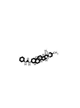 C[C@H]1CC[C@@]2(OC1)O[C@H]1CC3[C@@H]4CC[C@@H]5C[C@H](NC(=O)NC6CCCCC6)CC[C@]5(C)C4CC[C@]3(C)[C@H]1[C@@H]2C